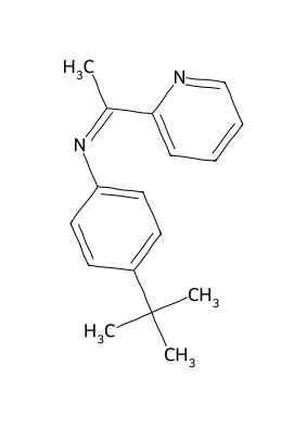 CC(=Nc1ccc(C(C)(C)C)cc1)c1ccccn1